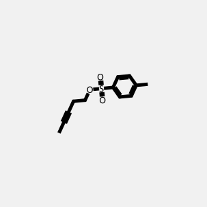 CC#CCCOS(=O)(=O)c1ccc(C)cc1